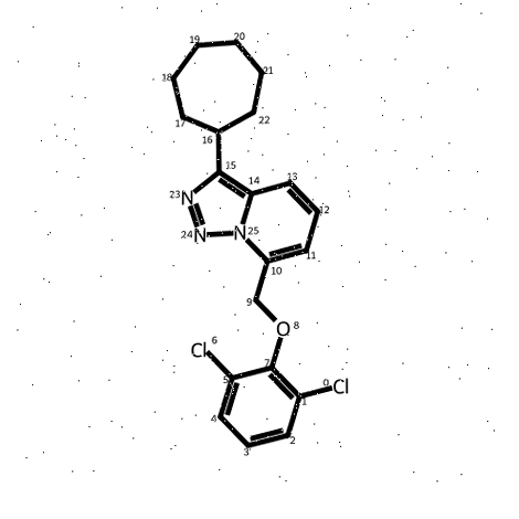 Clc1cccc(Cl)c1OCc1cccc2c(C3CCCCCC3)nnn12